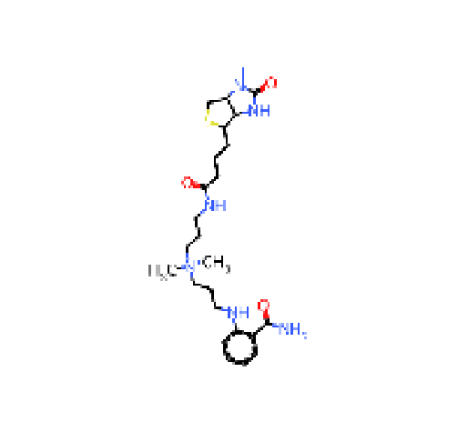 C[N+](C)(CCCNC(=O)CCCC1SCC2NC(=O)NC21)CCCNc1ccccc1C(N)=O